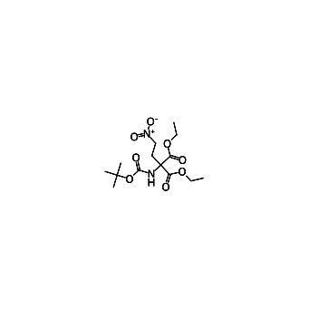 CCOC(=O)C(CC[N+](=O)[O-])(NC(=O)OC(C)(C)C)C(=O)OCC